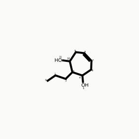 CCCC1C(O)CC=CCC1O